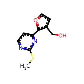 CSc1nccc(-c2occc2CO)n1